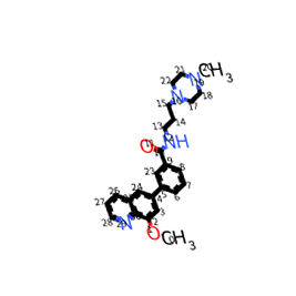 COc1cc(-c2cccc(C(=O)NCCCN3CCN(C)CC3)c2)cc2cccnc12